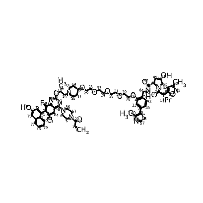 C=CC(=O)N1CCN(c2nc(O[C@H](C)CN3CCC(OCCOCCOCCOCCOc4cc(-c5scnc5C)ccc4CNC(=O)[C@@H]4C[C@@H](O)CN4C(=O)[C@H](c4cc(C)no4)C(C)C)CC3)nc3c(F)c(-c4cc(O)cc5ccccc45)c(Cl)cc23)CC1